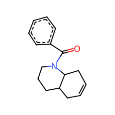 O=C(c1ccccc1)N1CCCC2CC=CCC21